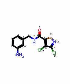 Nc1cccc(CNC(=O)c2snc(Cl)c2Cl)c1